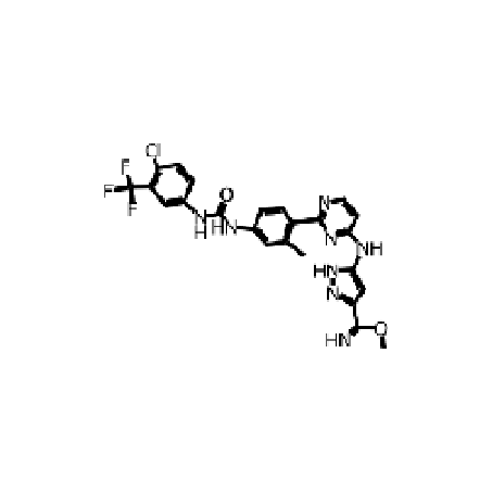 COC(=N)c1cc(Nc2ccnc(-c3ccc(NC(=O)Nc4ccc(Cl)c(C(F)(F)F)c4)cc3C)n2)[nH]n1